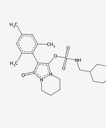 Cc1cc(C)c(-c2c(OS(=O)(=O)NCC3CCCCC3)n3n(c2=O)CCCC3)c(C)c1